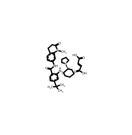 CN1C(=O)CCc2ccc(NC(=O)c3ccc(C(C)(C)C)cc3N[C@H]3CCCC[C@@H]3N3CCCC3)cc21.O=C(O)C=CC(=O)O